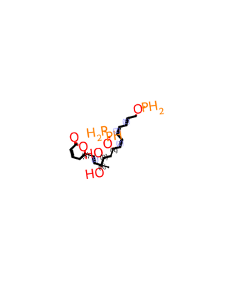 C[C@@](O)(/C=C/[C@H]1CC=CC(=O)O1)[C@H](O)C[C@H](\C=C/C=C\C=C\COP)OPP